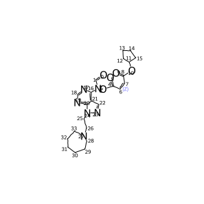 O=CN(OC(=O)/C=C\C(=O)OC1CCCC1)c1ncnc2c1cnn2CCN1CCCCCC1